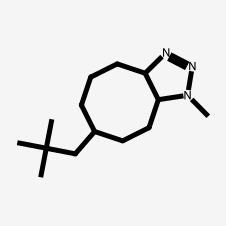 CN1N=NC2CCCC(CC(C)(C)C)CCC21